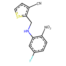 N#Cc1ccsc1CNc1cc(F)ccc1[N+](=O)[O-]